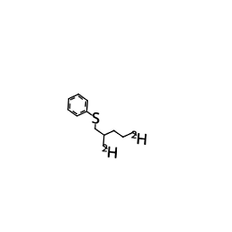 [2H]CCCC(C[2H])CSc1ccccc1